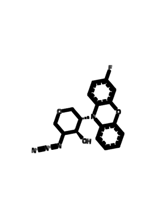 [N-]=[N+]=NC1COC[C@H](N2c3ccccc3Oc3cc(F)ccc32)[C@H]1O